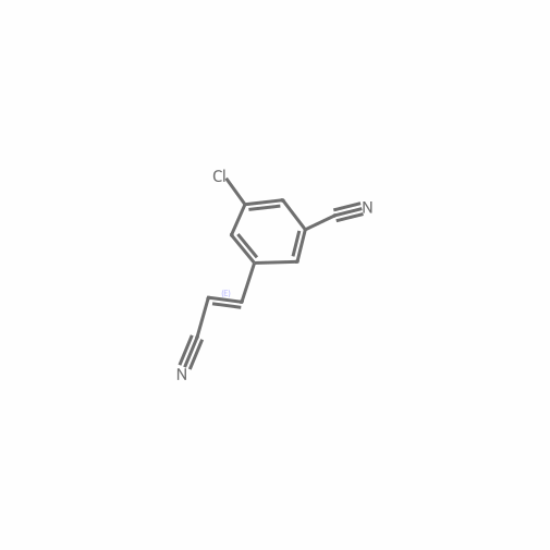 N#C/C=C/c1cc(Cl)cc(C#N)c1